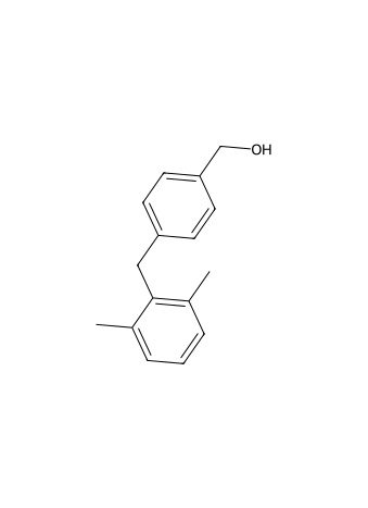 Cc1cccc(C)c1Cc1ccc(CO)cc1